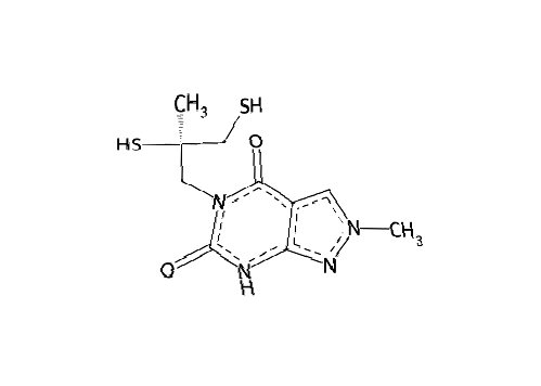 Cn1cc2c(=O)n(C[C@@](C)(S)CS)c(=O)[nH]c2n1